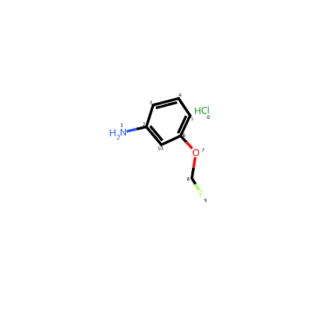 Cl.Nc1cccc(OCF)c1